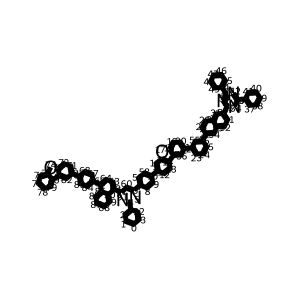 c1ccc(-c2nc(-c3ccc(-c4ccc5c(c4)oc4ccc(-c6cccc(-c7ccc8cc(-c9nc(-c%10ccccc%10)nc(-c%10ccccc%10)n9)ccc8c7)c6)cc45)cc3)cc(-c3ccc(-c4ccc(-c5ccc6oc7ccccc7c6c5)cc4)c4ccccc34)n2)cc1